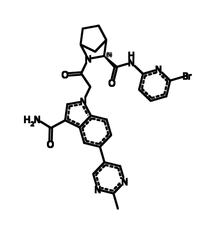 Cc1ncc(-c2ccc3c(c2)c(C(N)=O)cn3CC(=O)N2C3CCC(C3)[C@H]2C(=O)Nc2cccc(Br)n2)cn1